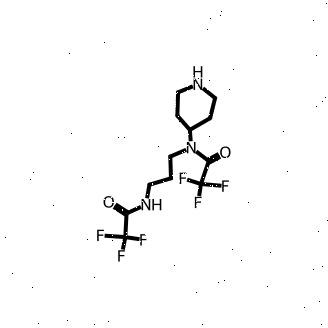 O=C(NCCCN(C(=O)C(F)(F)F)C1CCNCC1)C(F)(F)F